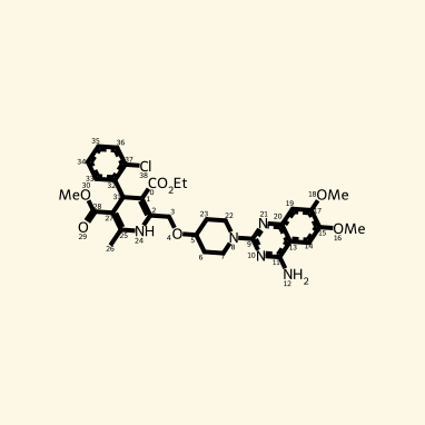 CCOC(=O)C1=C(COC2CCN(c3nc(N)c4cc(OC)c(OC)cc4n3)CC2)NC(C)=C(C(=O)OC)C1c1ccccc1Cl